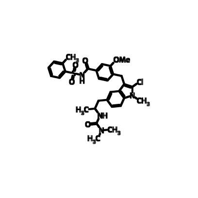 COc1cc(C(=O)NS(=O)(=O)c2ccccc2C)ccc1Cc1c(Cl)n(C)c2ccc(CC(C)NC(=O)N(C)C)cc12